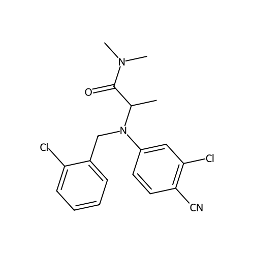 CC(C(=O)N(C)C)N(Cc1ccccc1Cl)c1ccc(C#N)c(Cl)c1